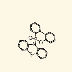 O=P1(N2c3ccccc3Sc3ccccc32)Oc2ccccc2-c2ccccc21